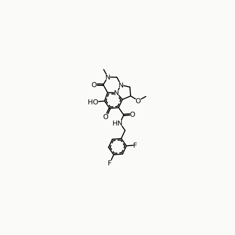 COC1CN2CN(C)C(=O)c3c(O)c(=O)c(C(=O)NCc4ccc(F)cc4F)c1n32